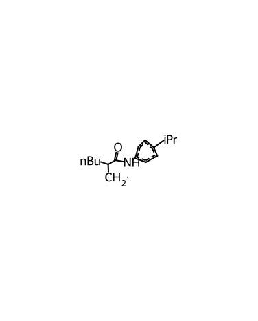 [CH2]C(CCCC)C(=O)Nc1ccc(C(C)C)cc1